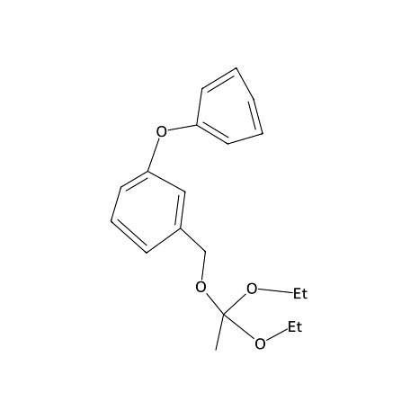 CCOC(C)(OCC)OCc1cccc(Oc2ccccc2)c1